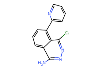 Nc1nnc(Cl)c2c(-c3ccccn3)cccc12